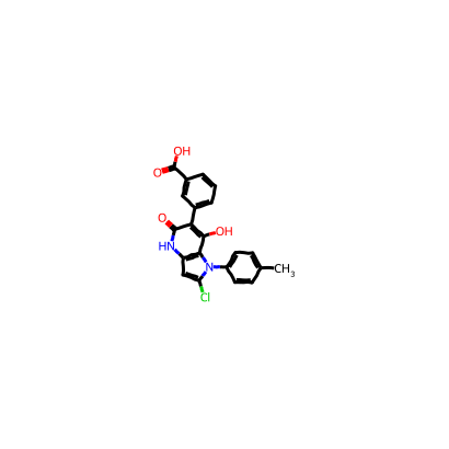 Cc1ccc(-n2c(Cl)cc3[nH]c(=O)c(-c4cccc(C(=O)O)c4)c(O)c32)cc1